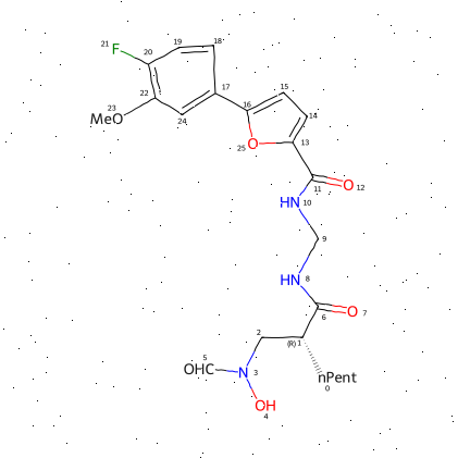 CCCCC[C@H](CN(O)C=O)C(=O)NCNC(=O)c1ccc(-c2ccc(F)c(OC)c2)o1